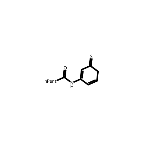 CCCCCC(=O)NC1=CC(=S)CC=[C]1